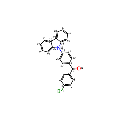 O=C(c1ccc(Br)cc1)c1ccc(-n2c3ccccc3c3ccccc32)cc1